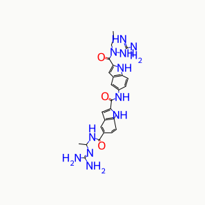 CCCN(NC(=N)N)C(=O)c1cc2cc(NC(=O)c3cc4cc(C(=O)NC(C)N=C(N)N)ccc4[nH]3)ccc2[nH]1